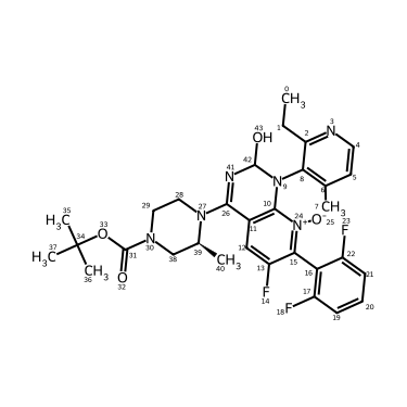 CCc1nccc(C)c1N1c2c(cc(F)c(-c3c(F)cccc3F)[n+]2[O-])C(N2CCN(C(=O)OC(C)(C)C)C[C@@H]2C)=NC1O